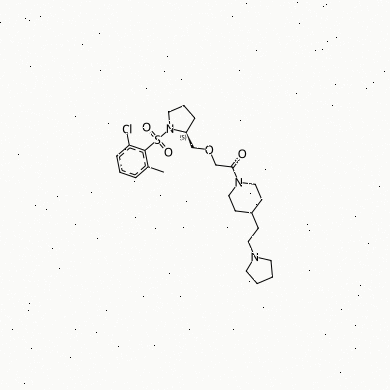 Cc1cccc(Cl)c1S(=O)(=O)N1CCC[C@H]1COCC(=O)N1CCC(CCN2CCCC2)CC1